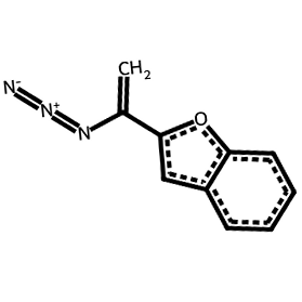 C=C(N=[N+]=[N-])c1cc2ccccc2o1